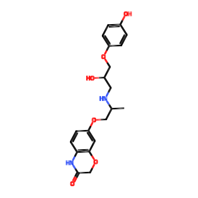 CC(COc1ccc2c(c1)OCC(=O)N2)NCC(O)COc1ccc(O)cc1